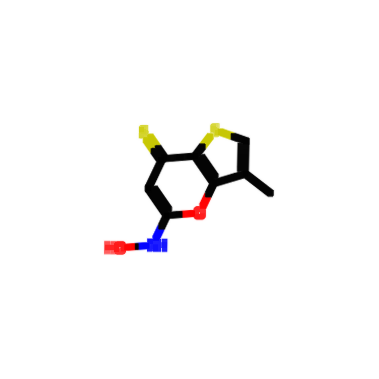 Cc1csc2c(=S)cc(NO)oc12